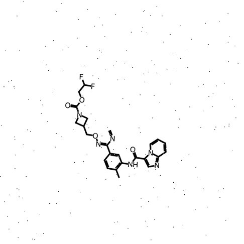 C=N/C(=N\OCC1CN(C(=O)OCC(F)F)C1)c1ccc(C)c(NC(=O)c2cnc3ccccn23)c1